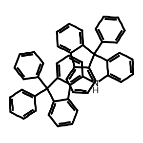 c1ccc(C2(c3ccccc3)c3ccccc3-c3c(Nc4ccccc4C4(c5ccccc5)c5ccccc5-c5ccccc54)cccc32)cc1